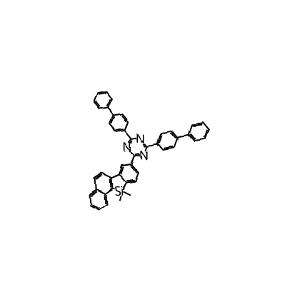 C[Si]1(C)c2ccc(-c3nc(-c4ccc(-c5ccccc5)cc4)nc(-c4ccc(-c5ccccc5)cc4)n3)cc2-c2ccc3ccccc3c21